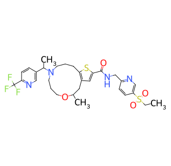 CCS(=O)(=O)c1ccc(CNC(=O)c2cc3c(s2)CCCN(C(C)c2ccc(C(F)(F)F)nc2)CCCOC(C)C3)nc1